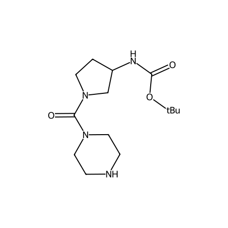 CC(C)(C)OC(=O)NC1CCN(C(=O)N2CCNCC2)C1